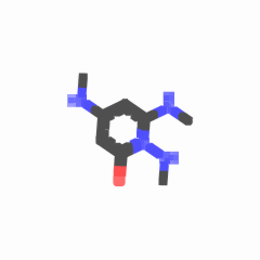 CNc1[c]c(NC)n(NC)c(=O)c1